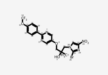 CC(O)(COc1cnc(-c2ccc(OC(F)(F)F)cc2)nc1)Cn1cc([N+](=O)[O-])nc1Br